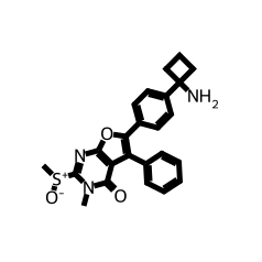 Cn1c([S+](C)[O-])nc2oc(-c3ccc(C4(N)CCC4)cc3)c(-c3ccccc3)c2c1=O